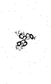 Cc1cccc(C(Cc2ccc(F)cc2)C(=O)C(Cc2ccc(F)cc2)c2cccc(C)n2)n1